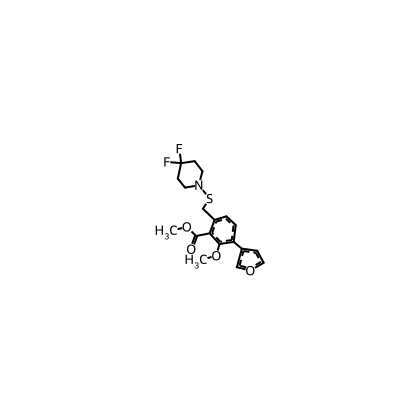 COC(=O)c1c(CSN2CCC(F)(F)CC2)ccc(-c2ccoc2)c1OC